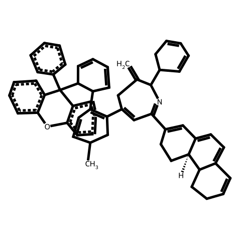 C=C1CC(C2=C(C3C=CC=CC3C3(c4ccccc4)c4ccccc4Oc4ccccc43)C=CC(C)C2)=CC(C2=CC3=CC=C4C=CCCC4[C@H]3CC2)=NC1C1C=CC=CC1